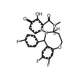 CN1C(=O)c2c(O)c(=O)ccn2N2C(c3ccc(F)cc3)c3cc(F)c(F)cc3OCC[C@@H]12